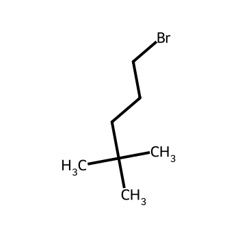 CC(C)(C)CCCBr